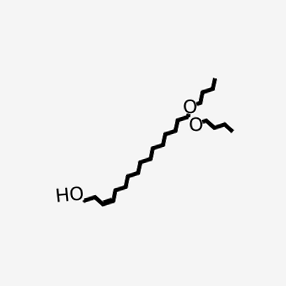 CCCCOC(CCCCCCCCCCC/C=C\CCO)OCCCC